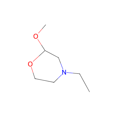 CCN1CCOC(OC)C1